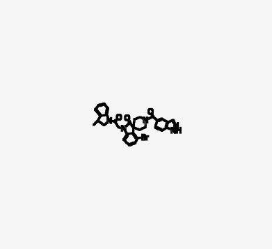 CC1CN(C(=O)CN2C(=O)C3(CCN(C(=O)c4ccc5[nH]ncc5c4)CC3)c3c(Br)cccc32)c2ccccc21